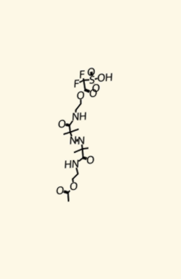 CC(=O)OCCNC(=O)C(C)(C)N=NC(C)(C)C(=O)NCCOC(=O)C(F)(F)S(=O)(=O)O